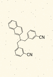 N#Cc1cccc(C[C](Cc2cccc(C#N)c2)c2ccc3ccccc3c2)c1